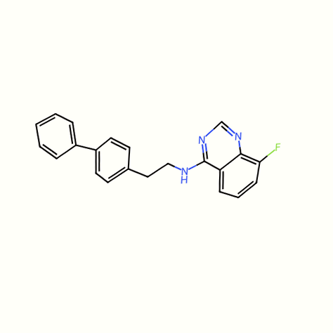 Fc1cccc2c(NCCc3ccc(-c4ccccc4)cc3)ncnc12